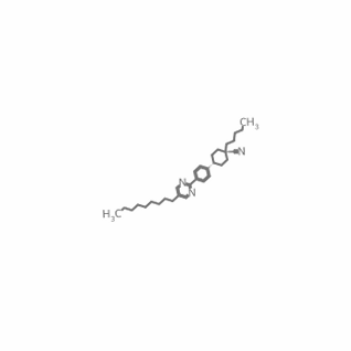 CCCCCCCCCc1cnc(-c2ccc([C@H]3CC[C@@](C#N)(CCCCC)CC3)cc2)nc1